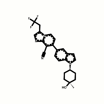 C[C@]1(O)CC[C@@H](n2ccc3cc(-c4ccn5c(CC(F)(F)F)cnc5c4C#N)ccc32)CC1